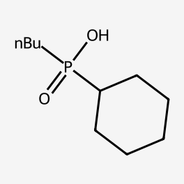 CCCCP(=O)(O)C1CCCCC1